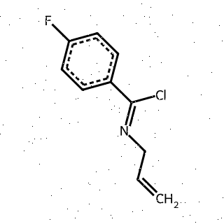 C=CCN=C(Cl)c1ccc(F)cc1